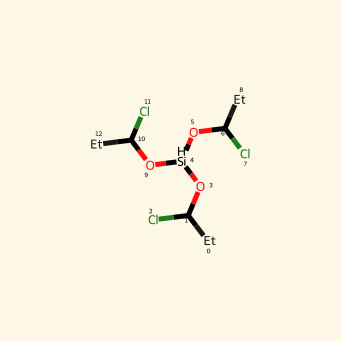 CCC(Cl)O[SiH](OC(Cl)CC)OC(Cl)CC